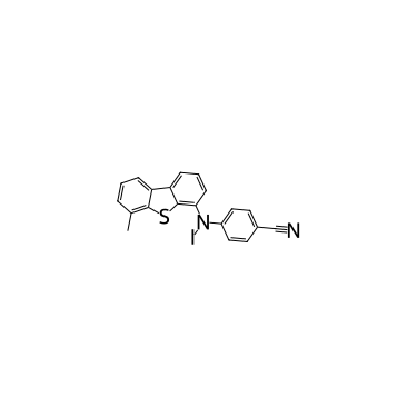 Cc1cccc2c1sc1c(N(I)c3ccc(C#N)cc3)cccc12